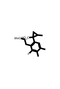 COCCc1c(C2(C(=O)O)CC2C)cc(C)c(C)c1F